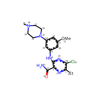 CCc1nc(C(N)=O)c(Nc2cc(OC)cc(N3CCN(C)CC3)c2)nc1Cl